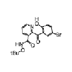 CC(C)(C)ONC(=O)c1cccnc1C(=O)c1cc(Br)ccc1O